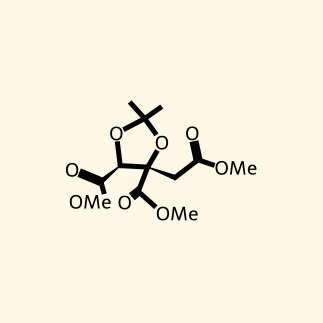 COC(=O)C[C@]1(C(=O)OC)OC(C)(C)O[C@@H]1C(=O)OC